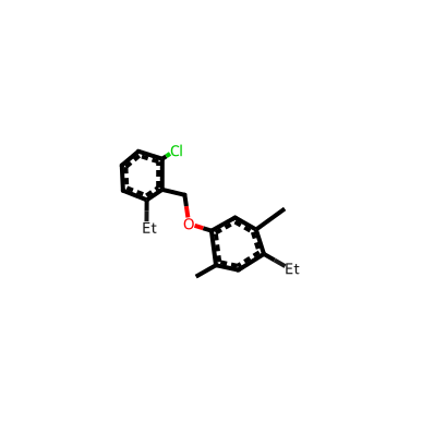 CCc1cc(C)c(OCc2c(Cl)cccc2CC)cc1C